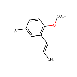 CC=Cc1cc(C)ccc1OC(=O)O